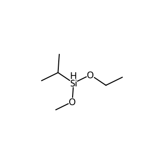 CCO[SiH](OC)C(C)C